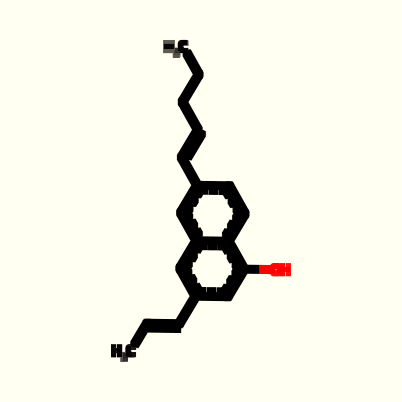 CC=Cc1cc(O)c2ccc(C=CCCC)cc2c1